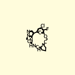 Fc1c(Cl)cc2cc1OCCN1CCC[C@H]1CNc1ccn3ncc-2c3n1